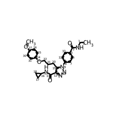 CCNC(=O)c1ccc(-n2nnc(C(=O)NC3CC3)c2CCCOc2ccc(OC)cc2)cc1